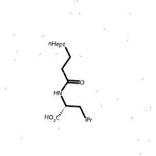 CCCCCCCCCC(=O)N[C@H](CC(C)C)C(=O)O